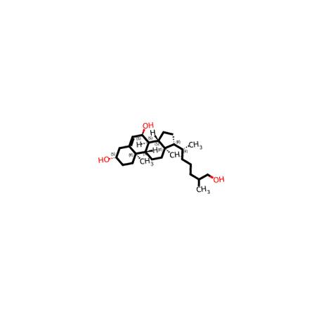 CC(CO)CCC[C@@H](C)[C@H]1CC[C@H]2[C@@H]3[C@H](O)C=C4C[C@@H](O)CC[C@]4(C)[C@H]3CC[C@]12C